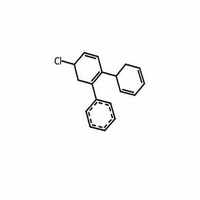 ClC1C=CC(C2C=CC=CC2)=C(c2ccccc2)C1